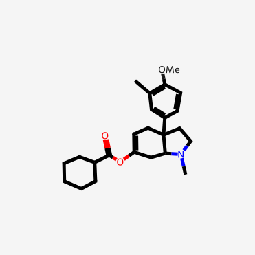 COc1ccc(C23CC=C(OC(=O)C4CCCCC4)CC2N(C)CC3)cc1C